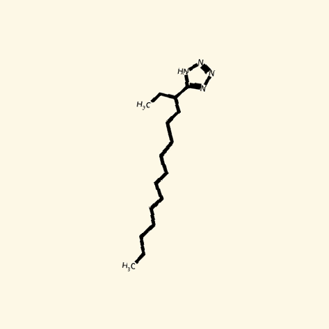 CCCCCCCCCCCCC(CC)c1nnn[nH]1